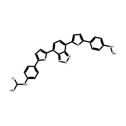 CCCCC(CC)Nc1ccc(-c2ccc(-c3ccc(-c4ccc(-c5ccc(NC(C)CC)cc5)s4)c4nsnc34)s2)cc1